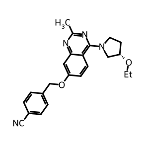 CCO[C@H]1CCN(c2nc(C)nc3cc(OCc4ccc(C#N)cc4)ccc23)C1